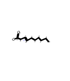 CCCCCC/C=C/CC([O])=O